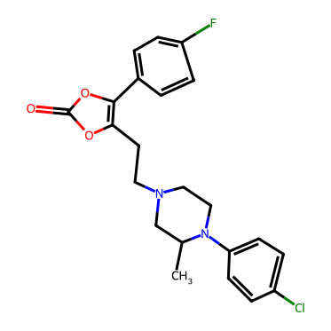 CC1CN(CCc2oc(=O)oc2-c2ccc(F)cc2)CCN1c1ccc(Cl)cc1